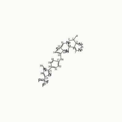 CC(C)c1ncncc1-c1ncc2scc(Cc3ccc(-c4nc(C(F)(F)F)cn4C)cc3)c2n1